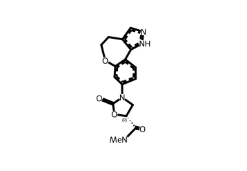 CNC(=O)[C@H]1CN(c2ccc3c(c2)OCCc2cn[nH]c2-3)C(=O)O1